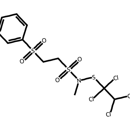 CN(SC(Cl)(Cl)C(Cl)Cl)S(=O)(=O)CCS(=O)(=O)c1ccccc1